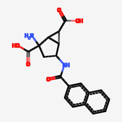 NC1(C(=O)O)CC(NC(=O)c2ccc3ccccc3c2)C2C(C(=O)O)C21